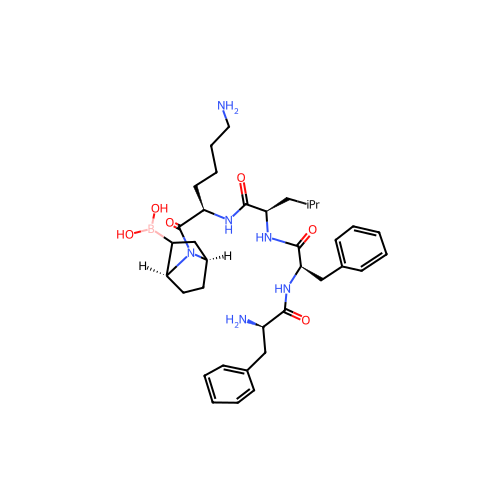 CC(C)C[C@@H](NC(=O)[C@@H](Cc1ccccc1)NC(=O)[C@H](N)Cc1ccccc1)C(=O)N[C@H](CCCCN)C(=O)N1[C@@H]2CC[C@H]1C(B(O)O)C2